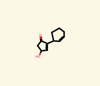 O=C1CC(O)C=C1C1C=CCCC1